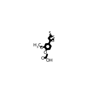 COc1cc(-c2cc(=S)ss2)ccc1OCC(=O)O